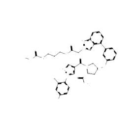 COC(=O)[C@@H]1C[C@H](Oc2cccc(-c3cccc4nn(CC(=O)NCCCNC(=O)OC(C)(C)C)cc34)c2)CN1C(=O)c1cnn(-c2ccc(F)cc2Cl)c1